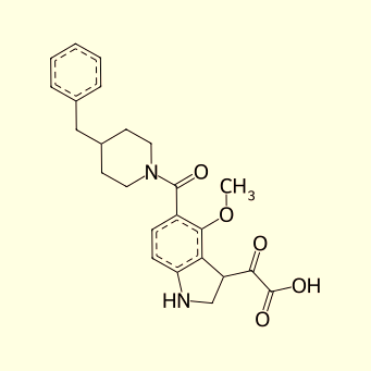 COc1c(C(=O)N2CCC(Cc3ccccc3)CC2)ccc2c1C(C(=O)C(=O)O)CN2